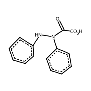 O=C(O)C(=O)N(Nc1ccccc1)c1[c]cccc1